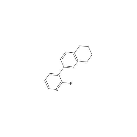 Fc1ncccc1-c1ccc2c(c1)CCCC2